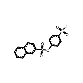 [O]S(=O)(=O)c1ccc(OS(=O)(=O)c2ccc3ccccc3c2)cc1